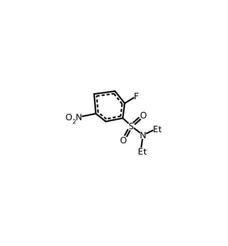 CCN(CC)S(=O)(=O)c1cc([N+](=O)[O-])ccc1F